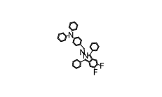 Fc1cc2c(-c3ccccc3)n(N=Cc3ccc(N(c4ccccc4)c4ccccc4)cc3)c(-c3ccccc3)c2cc1F